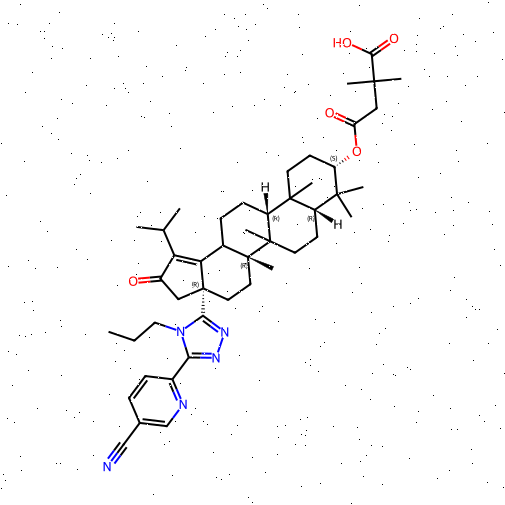 CCCn1c(-c2ccc(C#N)cn2)nnc1[C@@]12CC[C@]3(C)C(CC[C@@H]4C5(C)CC[C@H](OC(=O)CC(C)(C)C(=O)O)C(C)(C)[C@@H]5CCC43C)C1=C(C(C)C)C(=O)C2